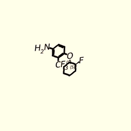 Nc1ccc(O[C@H]2CCCC[C@@H]2F)c(C(F)(F)F)c1